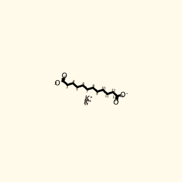 O=C([O-])CCCCCCCCCCC(=O)[O-].[K+].[K+]